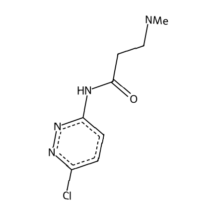 CNCCC(=O)Nc1ccc(Cl)nn1